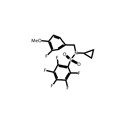 COc1ccc(CN(C2CC2)S(=O)(=O)c2c(F)c(F)c(F)c(F)c2F)cc1F